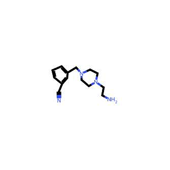 N#Cc1cccc(CN2CCN(CCN)CC2)c1